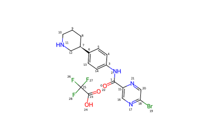 O=C(Nc1ccc([C@@H]2CCCNC2)cc1)c1cnc(Br)cn1.O=C(O)C(F)(F)F